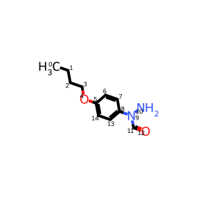 CCCCOc1ccc(N(N)C=O)cc1